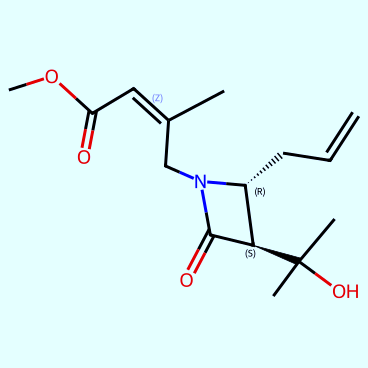 C=CC[C@@H]1[C@@H](C(C)(C)O)C(=O)N1C/C(C)=C\C(=O)OC